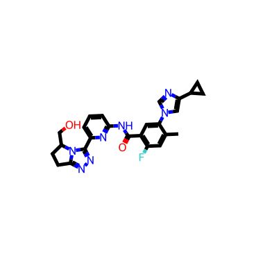 Cc1cc(F)c(C(=O)Nc2cccc(-c3nnc4n3C(CO)CC4)n2)cc1-n1cnc(C2CC2)c1